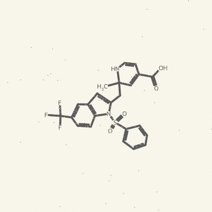 CC1(Cc2cc3cc(C(F)(F)F)ccc3n2S(=O)(=O)c2ccccc2)C=C(C(=O)O)C=CN1